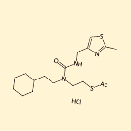 CC(=O)SCCN(CCC1CCCCC1)C(=O)NCc1csc(C)n1.Cl